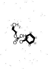 C=CCOP(=O)(O)Oc1ccccc1